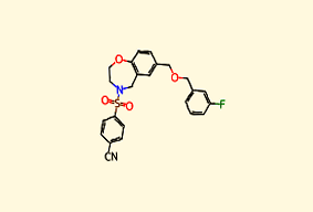 N#Cc1ccc(S(=O)(=O)N2CCOc3ccc(COCc4cccc(F)c4)cc3C2)cc1